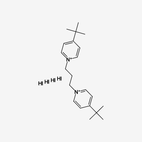 CC(C)(C)c1cc[n+](CCC[n+]2ccc(C(C)(C)C)cc2)cc1.I.I.I.I